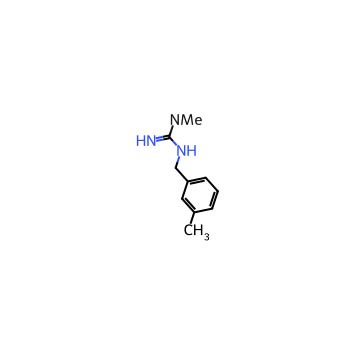 CNC(=N)NCc1cccc(C)c1